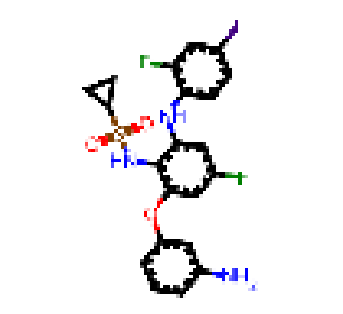 Nc1cccc(Oc2cc(F)cc(Nc3ccc(I)cc3F)c2NS(=O)(=O)C2CC2)c1